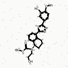 CC(C)Oc1ccc(-c2nnc(-c3cccc4c3CCC[C@H]4N(CCO)C(=O)OC(C)(C)C)s2)cc1C#N